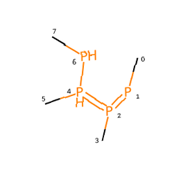 CP=P(C)=[PH](C)PC